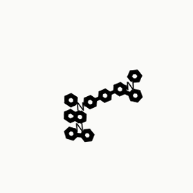 c1ccc(N(c2ccc(-c3ccc(-c4ccc5c(c4)c4ccccc4n5-c4ccccc4)cc3)cc2)c2ccc(-n3c4ccccc4c4ccccc43)c3ccccc23)cc1